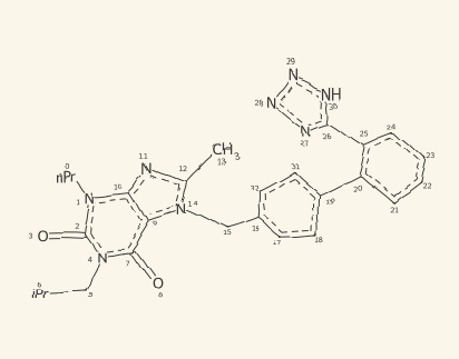 CCCn1c(=O)n(CC(C)C)c(=O)c2c1nc(C)n2Cc1ccc(-c2ccccc2-c2nnn[nH]2)cc1